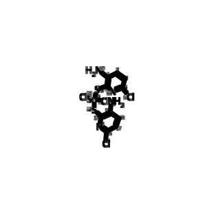 Nc1ccc(Cl)nc1[S][Sn]([Cl])([Cl])[S]c1nc(Cl)ccc1N